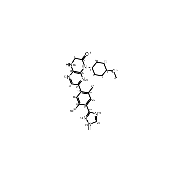 CO[C@H]1CC[C@H](N2C(=O)CNc3ncc(-c4cc(F)c(-c5nc[nH]n5)cc4C)nc32)CC1